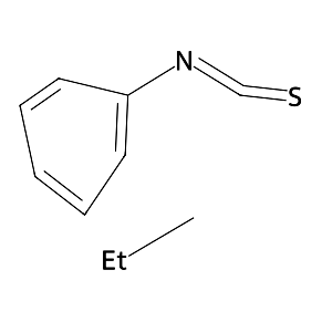 CCC.S=C=Nc1ccccc1